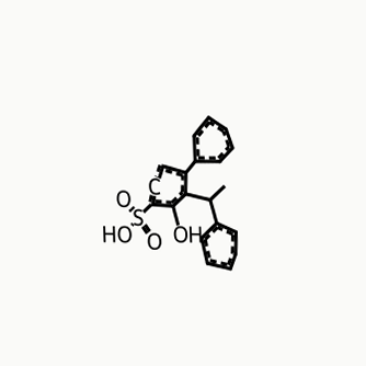 CC(c1ccccc1)c1c(-c2ccccc2)ccc(S(=O)(=O)O)c1O